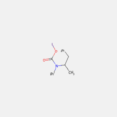 CC(C)CC(C)N(C(=O)OI)C(C)C